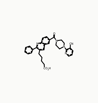 N#Cc1cccnc1N1CCN(C(=O)c2ccc3nc(-c4ccccc4)c(CCCCC(=O)O)cc3c2)CC1